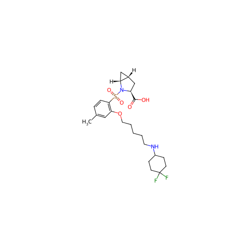 Cc1ccc(S(=O)(=O)N2[C@@H]3C[C@@H]3C[C@H]2C(=O)O)c(OCCCCCNC2CCC(F)(F)CC2)c1